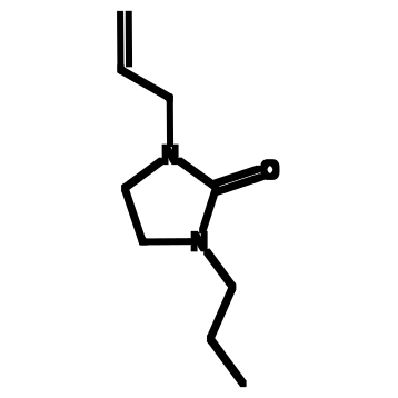 C=CCN1CCN(CCC)C1=O